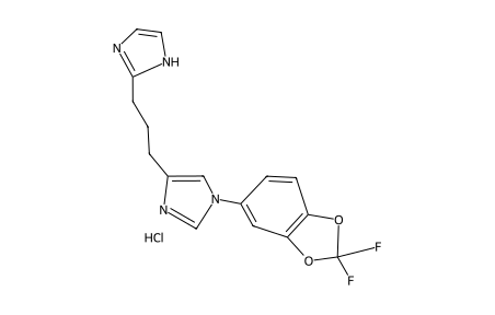 Cl.FC1(F)Oc2ccc(-n3cnc(CCCc4ncc[nH]4)c3)cc2O1